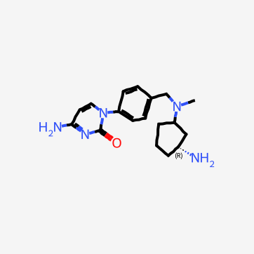 CN(Cc1ccc(-n2ccc(N)nc2=O)cc1)C1CCC[C@@H](N)C1